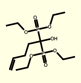 C=CCCC(O)(P(=O)(OCC)OCC)P(=O)(OCC)OCC